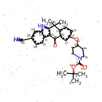 CC(C)(C)OC(=O)N1CCC(Oc2ccc3c(c2)C(=O)c2c([nH]c4cc(C#N)ccc24)C3(C)C)CC1